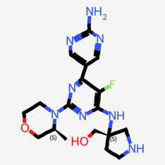 C[C@H]1COCCN1c1nc(N[C@@]2(CO)CCNC2)c(F)c(-c2cnc(N)nc2)n1